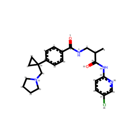 CC(CNC(=O)c1ccc(C2(CN3CCCC3)CC2)cc1)C(=O)Nc1ccc(Cl)cn1